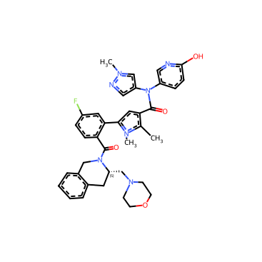 Cc1c(C(=O)N(c2ccc(O)nc2)c2cnn(C)c2)cc(-c2cc(F)ccc2C(=O)N2Cc3ccccc3C[C@H]2CN2CCOCC2)n1C